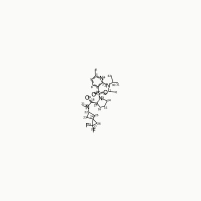 CCN(c1nc(C)ccc1S(=O)(=O)N1CCC[C@H]1C(=O)N(C)C1CC2(C1)CC2(F)F)C(C)C